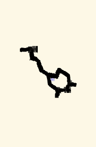 CNCC=C/C1=C\CCN(C)PN(C)C1